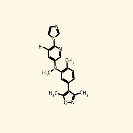 Cc1ccc(-c2c(C)noc2C)cc1N(C)c1cnc(-n2ccnc2)c(Br)c1